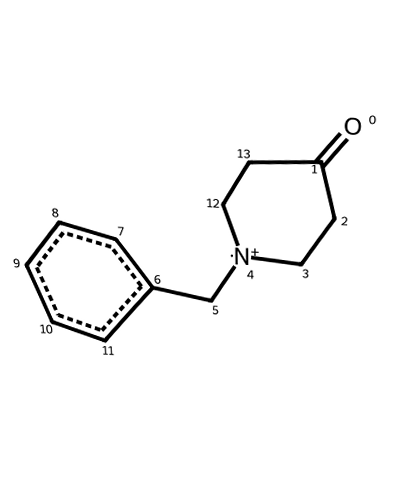 O=C1CC[N+](Cc2ccccc2)CC1